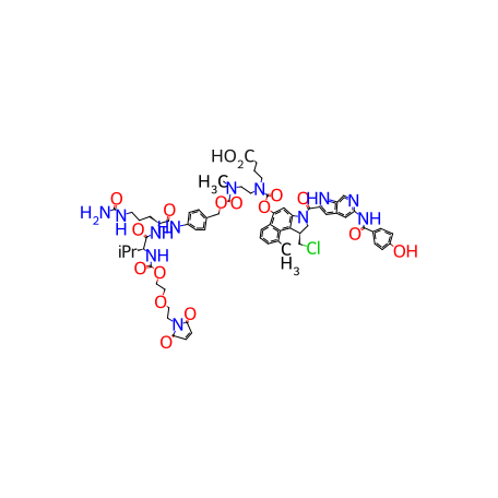 Cc1cccc2c(OC(=O)N(CCCC(=O)O)CCN(C)C(=O)OCc3ccc(NC(=O)[C@H](CCCNC(N)=O)NC(=O)[C@@H](NC(=O)OCCOCCN4C(=O)C=CC4=O)C(C)C)cc3)cc3c(c12)[C@H](CCl)CN3C(=O)c1cc2cc(NC(=O)c3ccc(O)cc3)ncc2[nH]1